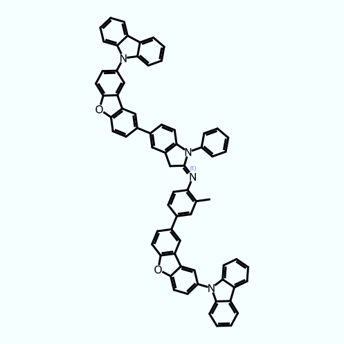 Cc1cc(-c2ccc3oc4ccc(-n5c6ccccc6c6ccccc65)cc4c3c2)ccc1/N=C1\Cc2cc(-c3ccc4oc5ccc(-n6c7ccccc7c7ccccc76)cc5c4c3)ccc2N1c1ccccc1